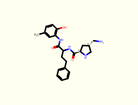 Cc1ccc(O)c(NC(=O)C(CCc2ccccc2)NC(=O)[C@H]2C[C@H](CN)CN2)c1